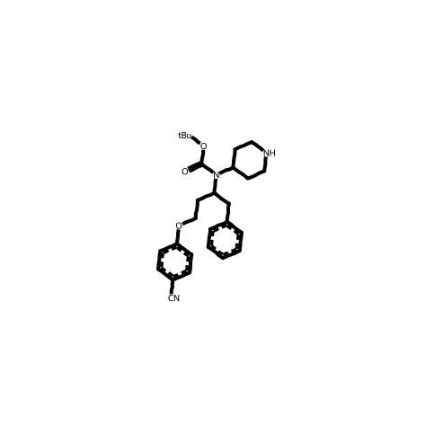 CC(C)(C)OC(=O)N(C1CCNCC1)C(CCOc1ccc(C#N)cc1)Cc1ccccc1